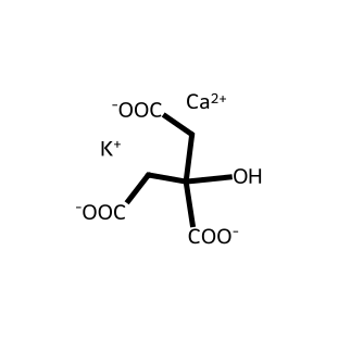 O=C([O-])CC(O)(CC(=O)[O-])C(=O)[O-].[Ca+2].[K+]